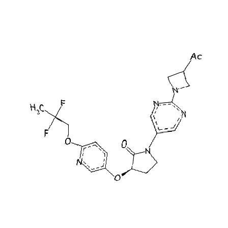 CC(=O)C1CN(c2ncc(N3CC[C@@H](Oc4ccc(OCC(C)(F)F)nc4)C3=O)cn2)C1